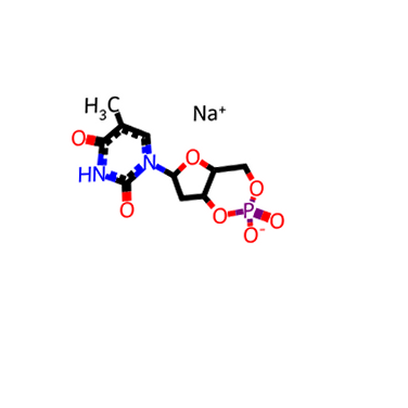 Cc1cn(C2CC3OP(=O)([O-])OCC3O2)c(=O)[nH]c1=O.[Na+]